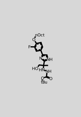 CCCCCCCCOc1ccc(-c2c[nH]c(C(C)(CO)NNC(=O)OC(C)(C)C)n2)cc1F